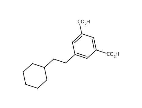 O=C(O)c1cc(CCC2CCCCC2)cc(C(=O)O)c1